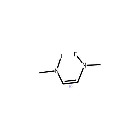 CN(F)/C=C\N(C)I